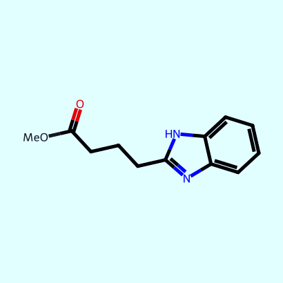 COC(=O)CCCc1nc2ccccc2[nH]1